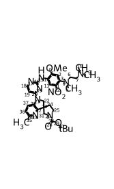 COc1cc(N(C)CCN(C)C)c([N+](=O)[O-])cc1Nc1nccc(N2CC3(CCN(C(=O)OC(C)(C)C)C3)c3nc(C)ccc32)n1